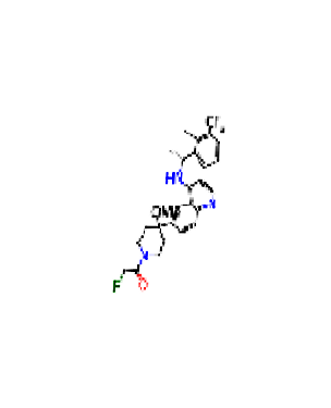 COC1(c2ccc3nccc(N[C@H](C)c4cccc(C(F)(F)F)c4C)c3c2)CCN(C(=O)CF)CC1